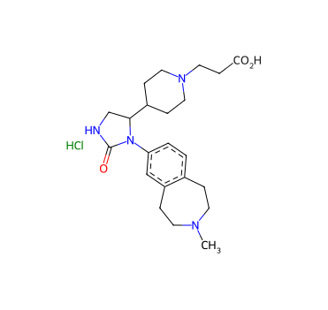 CN1CCc2ccc(N3C(=O)NCC3C3CCN(CCC(=O)O)CC3)cc2CC1.Cl